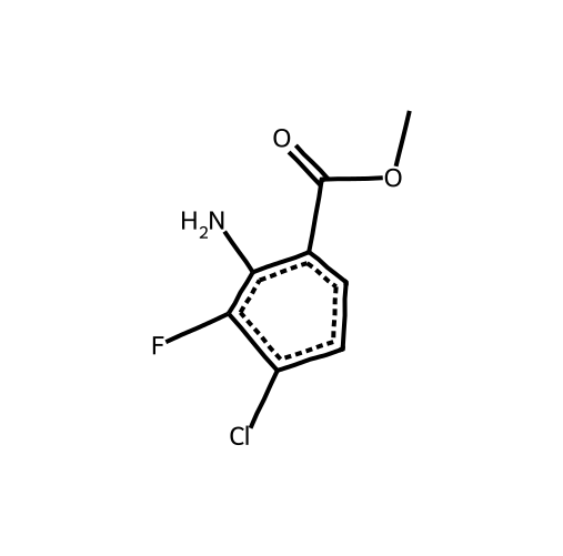 COC(=O)c1ccc(Cl)c(F)c1N